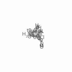 Cc1nnc(Oc2cc(OC3C[C@@H](C(N)=O)N(C(=O)[C@@H](NC(=O)O[C@@H]4C[C@@H]5[C@H](C)[C@@H]5C4)C(C)(C)C)C3)c3ccc(OCCN4CCOCC4)c(Cl)c3n2)s1